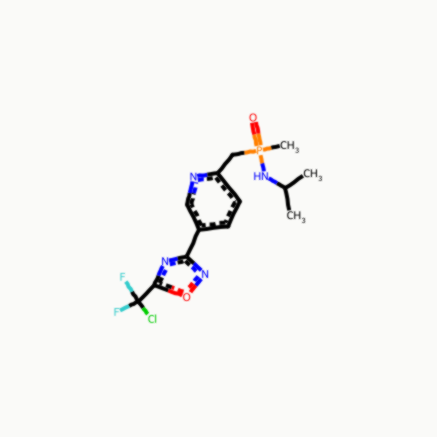 CC(C)NP(C)(=O)Cc1ccc(-c2noc(C(F)(F)Cl)n2)cn1